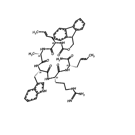 CC=CC[C@H](NC(=O)[C@H](CCCNC(=N)N)NC(=O)[C@H](Cc1c[nH]c2ccccc12)NC(=O)[C@H](C)NC(=O)[C@@H](CC=CC)NC(=O)OCC1c2ccccc2-c2ccccc21)C(N)=O